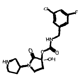 O=C(NCc1cc(F)cc(Cl)c1)O[C@@]1(O)CCN(C2CCNC2)C1=O